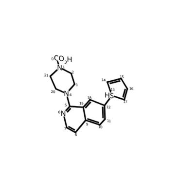 O=C(O)N1CCN(c2nccc3ccc([SH]4C=CC=C4)cc23)CC1